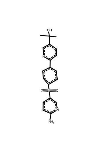 CC(C)(O)c1ccc(-c2ccc(S(=O)(=O)c3ccc(N)nc3)cc2)nc1